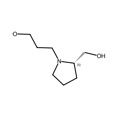 [O]CCCN1CCC[C@H]1CO